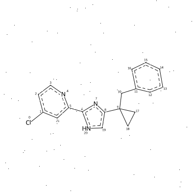 Clc1ccnc(-c2nc(C3(Cc4ccccc4)CC3)c[nH]2)c1